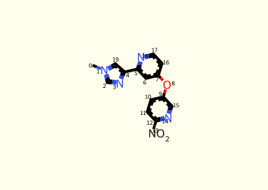 Cn1cnc(-c2cc(Oc3ccc([N+](=O)[O-])nc3)ccn2)c1